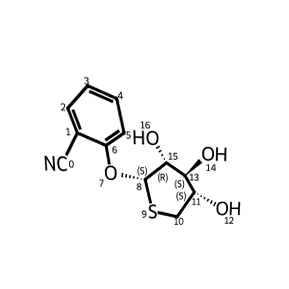 N#Cc1ccccc1O[C@H]1SC[C@@H](O)[C@H](O)[C@H]1O